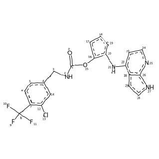 O=C(NCc1ccc(C(F)(F)F)c(Cl)c1)Oc1ccsc1Nc1ccnc2[nH]ccc12